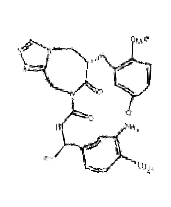 CC[C@@H](NC(=O)N1Cc2nncn2C[C@H](Cc2cc(Cl)ccc2OC)C1=O)c1ccc(C(=O)O)c(N)c1